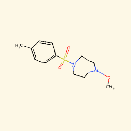 CON1CCN(S(=O)(=O)c2ccc(C)cc2)CC1